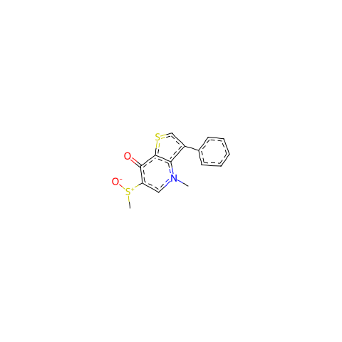 Cn1cc([S+](C)[O-])c(=O)c2scc(-c3ccccc3)c21